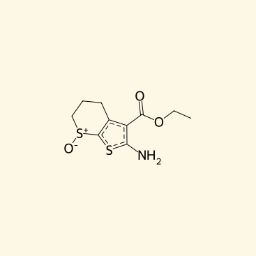 CCOC(=O)c1c(N)sc2c1CCC[S+]2[O-]